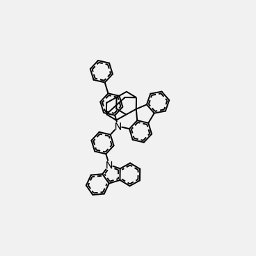 c1ccc(-c2ccc(N(c3cccc(-n4c5ccccc5c5ccccc54)c3)c3cccc4c3C3(c5ccccc5-4)C4CC5CC(C4)CC3C5)cc2)cc1